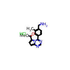 COC(=O)c1ccc2ncnc(-c3ccc(CN)c(C)c3)n12.Cl